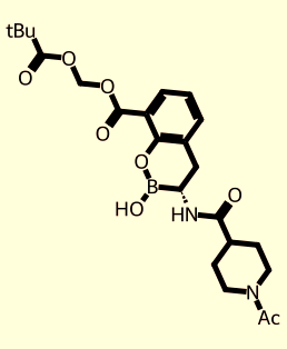 CC(=O)N1CCC(C(=O)N[C@H]2Cc3cccc(C(=O)OCOC(=O)C(C)(C)C)c3OB2O)CC1